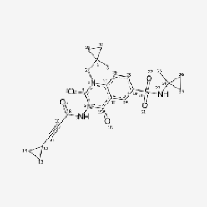 CC1(Cn2c(=O)n(NC(=O)C#CC3CC3)c(=O)c3cc(S(=O)(=O)NC4(C)CC4)ccc32)CC1